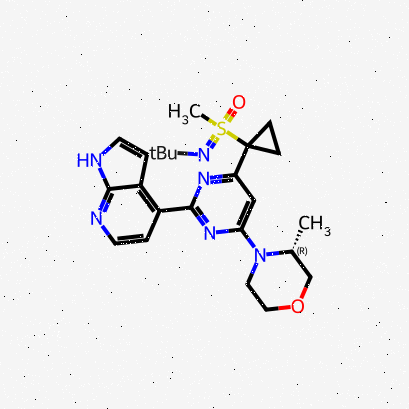 C[C@@H]1COCCN1c1cc(C2(S(C)(=O)=NC(C)(C)C)CC2)nc(-c2ccnc3[nH]ccc23)n1